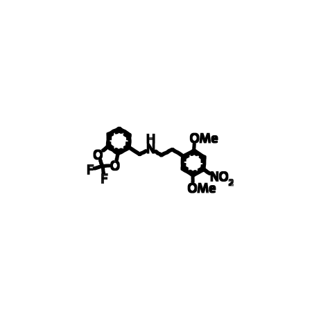 COc1cc([N+](=O)[O-])c(OC)cc1CCNCc1cccc2c1OC(F)(F)O2